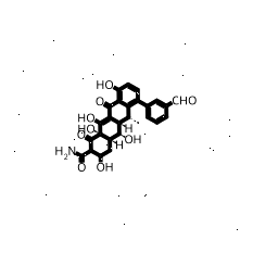 C[C@H]1c2c(-c3cccc(C=O)c3)ccc(O)c2C(=O)C2=C(O)[C@]3(O)C(=O)C(C(N)=O)C(O)C[C@@H]3[C@@H](O)[C@@H]21